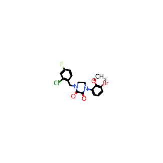 COc1c(Br)cccc1N1CCN(Cc2ccc(F)cc2Cl)C(=O)C1=O